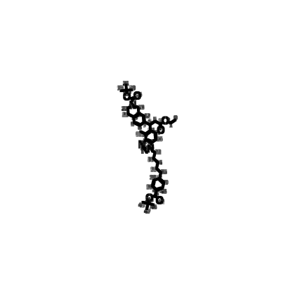 CCOC(=O)CC(c1ccc2c(c1)CN(C(=O)OC(C)(C)C)CC2)c1ccc2c(nnn2CCCCCc2ccc(C(=O)OC(C)(C)C)cc2)c1C